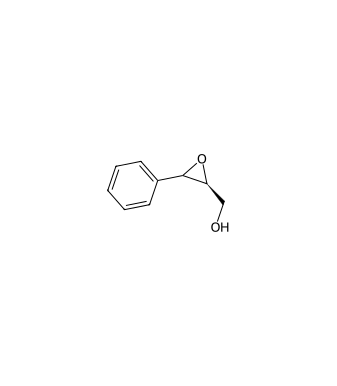 OC[C@@H]1OC1c1ccccc1